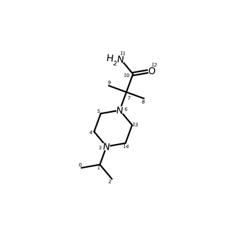 CC(C)N1CCN(C(C)(C)C(N)=O)CC1